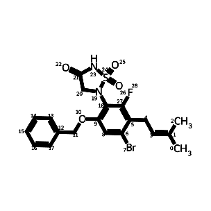 CC(C)=CCc1c(Br)cc(OCc2ccccc2)c(N2CC(=O)NS2(=O)=O)c1F